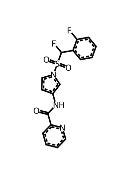 O=C(Nc1ccn(S(=O)(=O)C(F)c2ccccc2F)c1)c1ccccn1